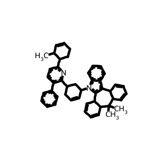 CC1C=CCCC1c1ccc(-c2ccccc2)c(C2CC=CC(n3c4c(c5ccccc53)C3C=CC=CC3C(C)(C)C3C=CC=CC43)C2)n1